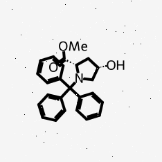 COC(=O)[C@@H]1C[C@H](O)CN1C(c1ccccc1)(c1ccccc1)c1ccccc1